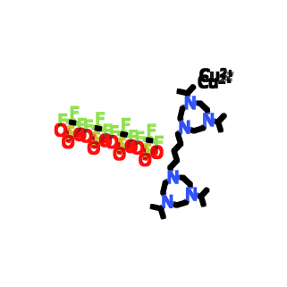 CC(C)N1CCN(CCCCCN2CCN(C(C)C)CCN(C(C)C)CC2)CCN(C(C)C)CC1.O=S(=O)([O-])C(F)(F)F.O=S(=O)([O-])C(F)(F)F.O=S(=O)([O-])C(F)(F)F.O=S(=O)([O-])C(F)(F)F.[Cu+2].[Cu+2]